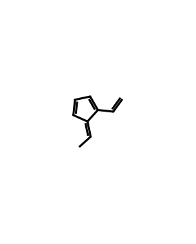 C=CC1=CC=CC1=CC